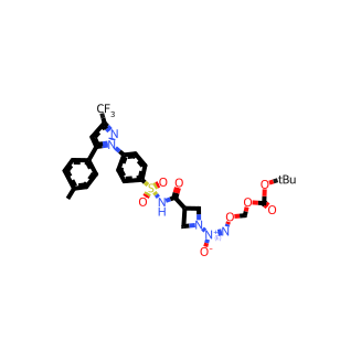 Cc1ccc(-c2cc(C(F)(F)F)nn2-c2ccc(S(=O)(=O)NC(=O)C3CN(/[N+]([O-])=N\OCOC(=O)OC(C)(C)C)C3)cc2)cc1